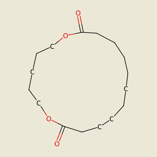 O=C1CCCCCCCCCC(=O)OCCCCCO1